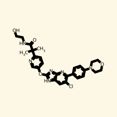 CC(C)(C(=O)NCCO)c1ccc(Oc2nc3nc(-c4ccc(N5CCOCC5)cc4)c(Cl)cc3[nH]2)cn1